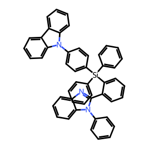 c1ccc(-n2c(-c3ccccc3[Si](c3ccccc3)(c3ccccc3)c3ccc(-n4c5ccccc5c5ccccc54)cc3)nc3ccccc32)cc1